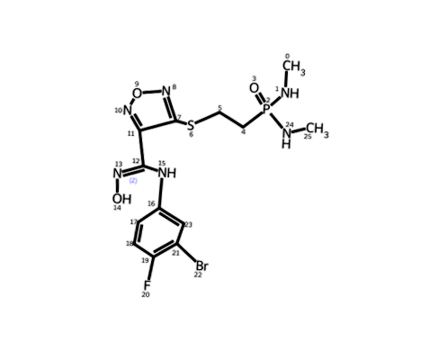 CNP(=O)(CCSc1nonc1/C(=N/O)Nc1ccc(F)c(Br)c1)NC